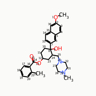 COc1ccc2cc(C3(O)CCC(OC(=O)c4ccccc4C)CC3CN3CCN(C)CC3)ccc2c1